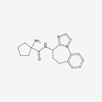 NC1(C(=O)NC2CCc3ccccc3-n3ccnc32)CCCC1